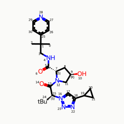 CC(C)(CNC(=O)[C@@H]1C[C@@H](O)CN1C(=O)[C@@H](n1cc(C2CC2)nn1)C(C)(C)C)c1ccncc1